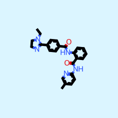 CCN1CCN=C1c1ccc(C(=O)Nc2ccccc2C(=O)Nc2ccc(C)cn2)cc1